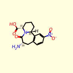 N[C@H]1Cc2ccc([N+](=O)[O-])cc2[C@H]2CCC[C@@H](C(=O)O)N2C1=O